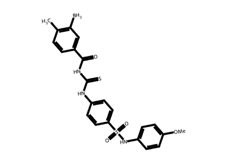 Bc1cc(C(=O)NC(=S)Nc2ccc(S(=O)(=O)Nc3ccc(OC)cc3)cc2)ccc1C